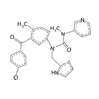 Cc1ccc(N(Cc2ccc[nH]2)C(=O)N(C)c2cccnc2)cc1C(=O)c1ccc(Cl)cc1